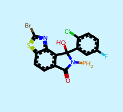 O=C1c2ccc3sc(Br)nc3c2C(O)(c2cc(F)ccc2Cl)N1P